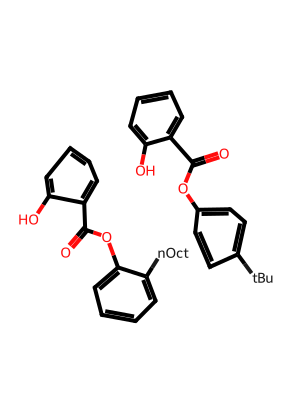 CC(C)(C)c1ccc(OC(=O)c2ccccc2O)cc1.CCCCCCCCc1ccccc1OC(=O)c1ccccc1O